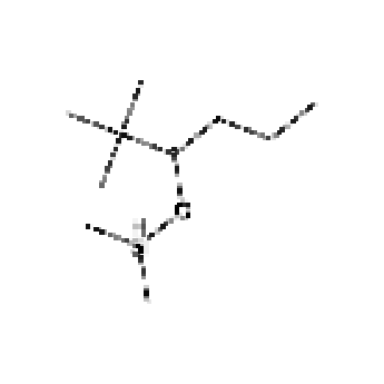 CCC[C](O[SiH](C)C)C(C)(C)C